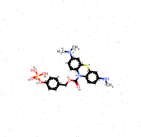 CNc1ccc2c(c1)Sc1cc(N(C)C)ccc1N2C(=O)OCc1ccc(OP(=O)(O)O)cc1